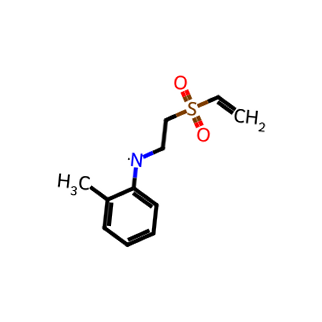 C=CS(=O)(=O)CC[N]c1ccccc1C